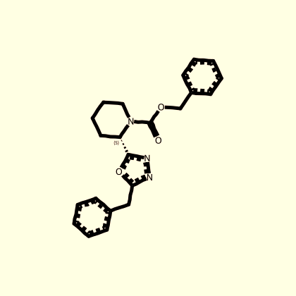 O=C(OCc1ccccc1)N1CCCC[C@H]1c1nnc(Cc2ccccc2)o1